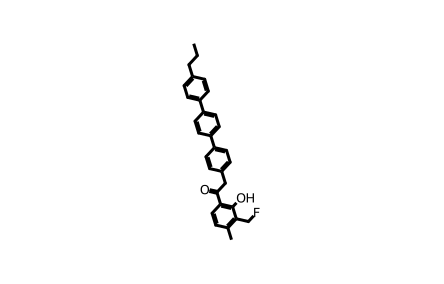 CCCc1ccc(-c2ccc(-c3ccc(CC(=O)c4ccc(C)c(CF)c4O)cc3)cc2)cc1